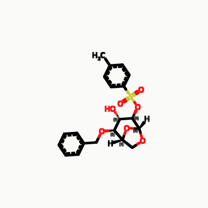 Cc1ccc(S(=O)(=O)O[C@H]2[C@@H]3OC[C@@H](O3)[C@@H](OCc3ccccc3)[C@@H]2O)cc1